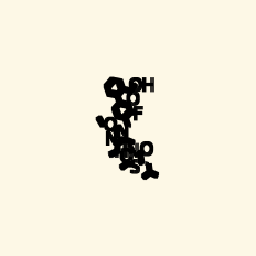 CCOc1nc(CC)c(CNC(=O)[C@H](CC(C)C)SC(C)=O)n1Cc1ccc(-c2ccccc2C(=O)O)cc1F